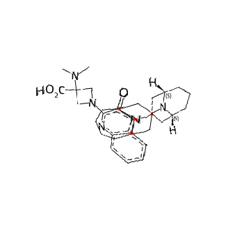 CN(C)C1(C(=O)O)CN(c2nc3ccccc3n(C3C[C@H]4CCC[C@@H](C3)N4C3CC4CCCCC(C4)C3)c2=O)C1